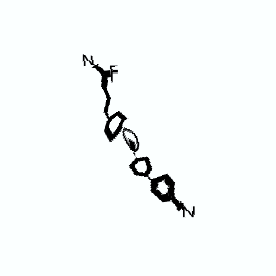 N#CC(F)=CCC[C@H]1CC[C@H](OC[C@H]2CC[C@H](c3ccc(C#N)cc3)CC2)CC1